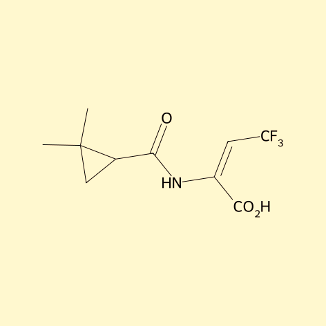 CC1(C)CC1C(=O)NC(=CC(F)(F)F)C(=O)O